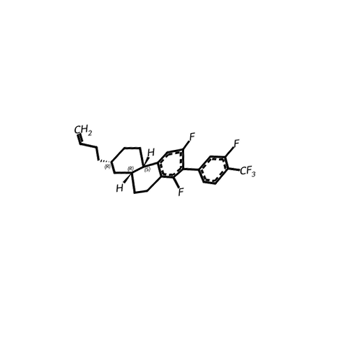 C=CCC[C@@H]1CC[C@@H]2c3cc(F)c(-c4ccc(C(F)(F)F)c(F)c4)c(F)c3CC[C@@H]2C1